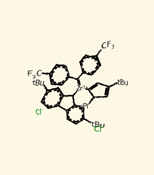 CCCC1C=C(C(C)(C)C)C=[C]1[Zr+2](=[C](c1ccc(C(F)(F)F)cc1)c1ccc(C(F)(F)F)cc1)[CH]1c2cc(C(C)(C)C)ccc2-c2ccc(C(C)(C)C)cc21.[Cl-].[Cl-]